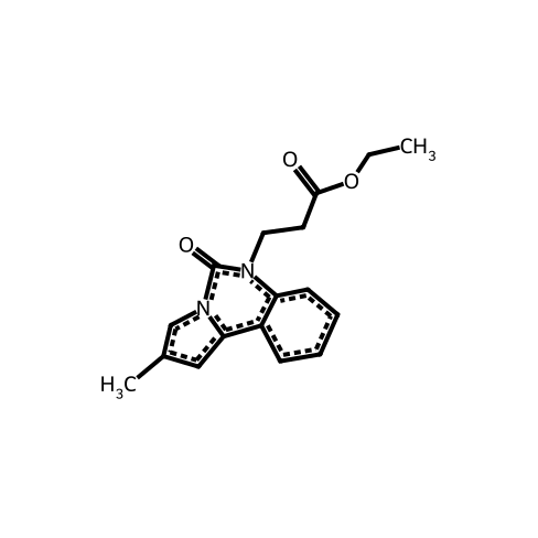 CCOC(=O)CCn1c(=O)n2cc(C)cc2c2ccccc21